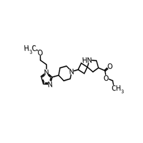 CCOC(=O)C1CNC2(C1)CC(N1CCC(c3nccn3CCOC)CC1)C2